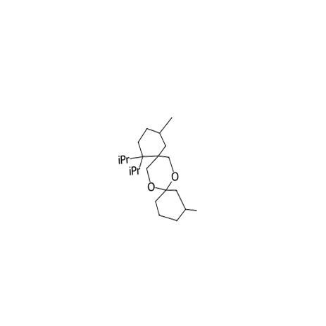 CC1CCCC2(C1)OCC1(CO2)CC(C)CCC1(C(C)C)C(C)C